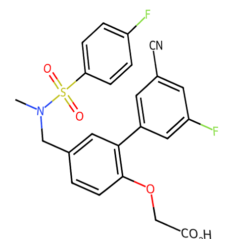 CN(Cc1ccc(OCC(=O)O)c(-c2cc(F)cc(C#N)c2)c1)S(=O)(=O)c1ccc(F)cc1